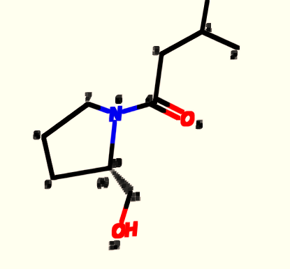 CC(C)CC(=O)N1CCC[C@H]1CO